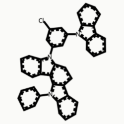 Clc1cc(-n2c3ccccc3c3ccccc32)cc(-n2c3ccccc3c3c2ccc2c4ccccc4n(-c4ccccc4)c23)c1